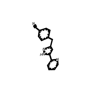 N#Cc1ccc(Cc2cc(-c3ccccn3)[nH]n2)cc1